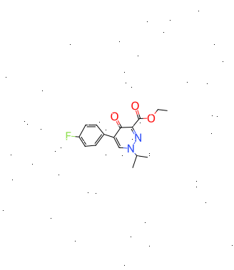 CCOC(=O)c1nn(C(C)C)cc(-c2ccc(F)cc2)c1=O